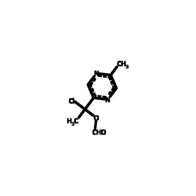 Cc1cnc(C(C)(Cl)OC=O)cn1